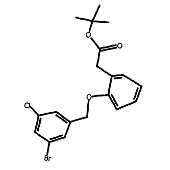 CC(C)(C)OC(=O)Cc1ccccc1OCc1cc(Cl)cc(Br)c1